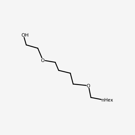 CCCCCCCOCCCCOCCO